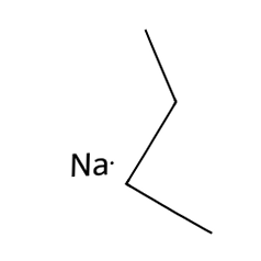 CCCC.[Na]